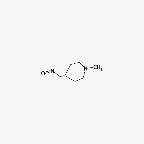 CN1CCC(CN=O)CC1